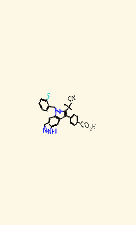 CC(C)(CC#N)c1c(-c2ccc(C(=O)O)cc2)c2cc3[nH]ncc3cc2n1Cc1ccccc1F